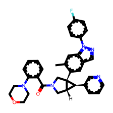 Cc1cc2c(cnn2-c2ccc(F)cc2)cc1[C@]12CN(C(=O)c3ccccc3N3CCOCC3)C[C@H]1[C@@H]2c1cccnc1